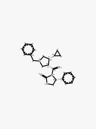 O=C1OC[C@@H](c2ccccc2)N1C(=O)[C@@H]1CN(Cc2ccccc2)C[C@@H]1C1CC1